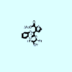 CCCC(CCC)[C@H](CC)OC(=O)[C@H](Nc1ccccc1)c1ccsc1C(=O)OC